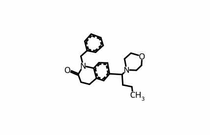 CCCC(c1ccc2c(c1)CCC(=O)N2Cc1ccccc1)N1CCOCC1